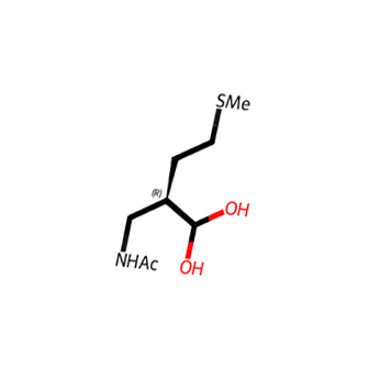 CSCC[C@H](CNC(C)=O)C(O)O